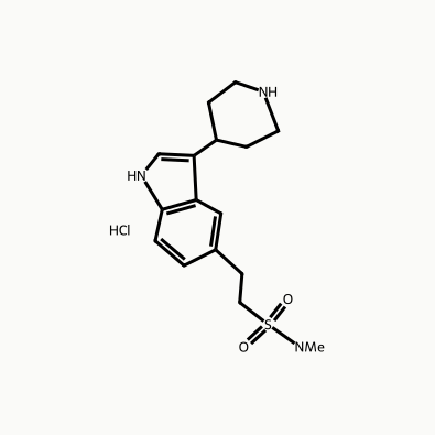 CNS(=O)(=O)CCc1ccc2[nH]cc(C3CCNCC3)c2c1.Cl